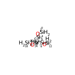 C[SiH2]O[Si](C)(C)[SiH]([Si](C)(C)O[SiH2]C)[Si](C)(C)O[SiH2]C